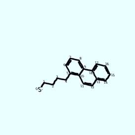 [S]CCCCc1cccc2c1ccc1ccccc12